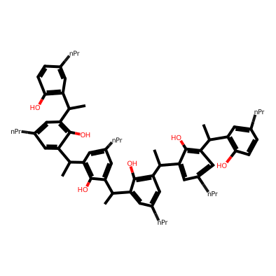 CCCc1ccc(O)c(C(C)c2cc(CCC)cc(C(C)c3cc(CCC)cc(C(C)c4cc(CCC)cc(C(C)c5cc(CCC)cc(C(C)c6cc(CCC)ccc6O)c5O)c4O)c3O)c2O)c1